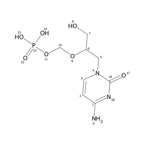 Nc1ccn(CC(CO)OCOP(=O)(O)O)c(=O)n1